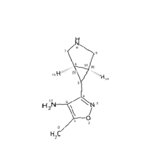 Cc1onc(C2[C@H]3CNC[C@@H]23)c1N